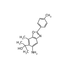 Cc1ccc(-c2nc3cc(N)c(C(C)(C)O)c(C)c3o2)cc1